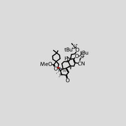 COC(=O)C1(CC[C@]2(C)[C@@H](C)C(=O)C=C3[C@@]4(C)CC(C#N)=C(O[Si](C)(C)C(C)(C)C)[C@@](C)(CCO[Si](C)(C)C(C)(C)C)[C@@H]4CC[C@]32C)CCC(C)(C)CC1